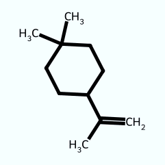 C=C(C)C1CCC(C)(C)CC1